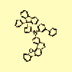 c1ccc(-c2cccc(N(c3cccc(C4(c5ccccc5)c5ccccc5-c5ccccc54)c3)c3ccc4c(ccc5ccc6c7ccccc7oc6c54)c3)c2)cc1